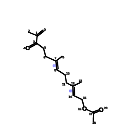 C=C(C)C(=O)CC/C(C)=C/CC/C(C)=C/COC(C)=O